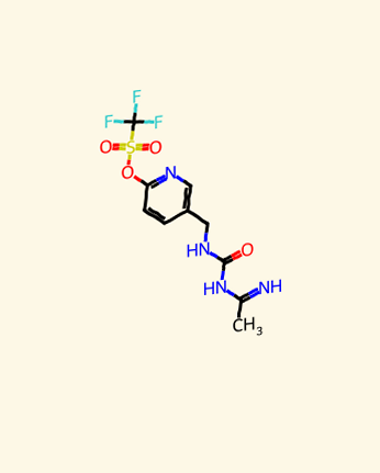 CC(=N)NC(=O)NCc1ccc(OS(=O)(=O)C(F)(F)F)nc1